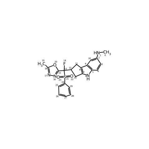 CNc1ccc2[nH]c3c(c2c1)CC(C(F)(c1nnc(C)o1)S(=O)(=O)c1ccccc1)C3